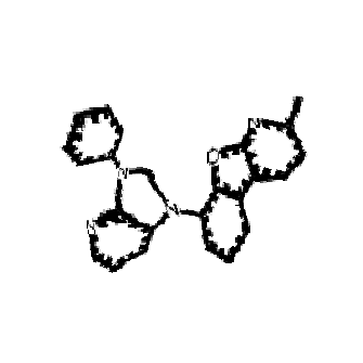 Cc1ccc2c(n1)oc1c(N3CN(c4ccccc4)c4ncccc43)cccc12